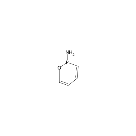 NP1C=CC=CO1